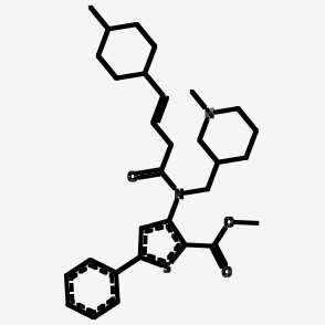 COC(=O)c1sc(-c2ccccc2)cc1N(CC1CCCN(C)C1)C(=O)CC=CC1CCC(C)CC1